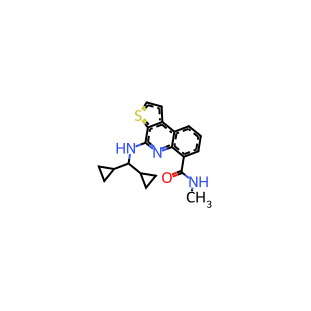 CNC(=O)c1cccc2c1nc(NC(C1CC1)C1CC1)c1sccc12